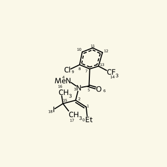 CC/C=C(/N(NC)C(=O)c1c(Cl)cccc1C(F)(F)F)C(C)(C)I